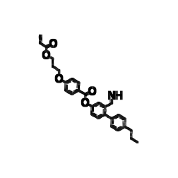 C=CC(=O)OCCCOc1ccc(C(=O)Oc2ccc(-c3ccc(CCC)cc3)c(C=N)c2)cc1